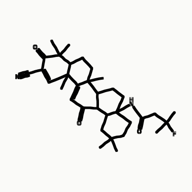 CC(C)(F)CC(=O)NC12CCC3C(C(=O)C=C4C5(C)C=C(C#N)C(=O)C(C)(C)C5CCC43C)C1CC(C)(C)CC2